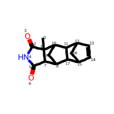 CC12C(=O)NC(=O)C1C1CC2C2C3C=CC(C3)C12